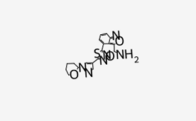 NC(=O)c1onc2cccc(-c3nnc(-c4cnn(C5CCCCO5)c4)s3)c12